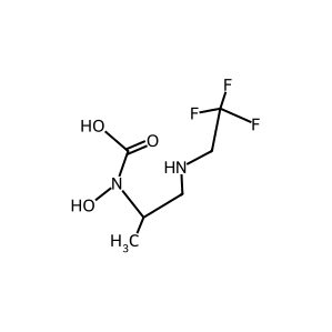 CC(CNCC(F)(F)F)N(O)C(=O)O